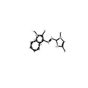 CC1=CN(C)C(N=Nc2c(C)n(C)c3ccccc23)S1